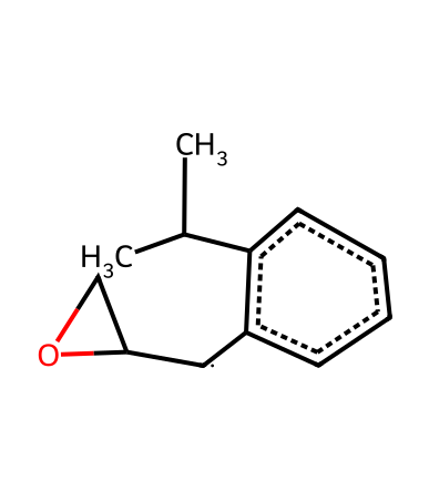 CC(C)c1ccccc1[CH]C1CO1